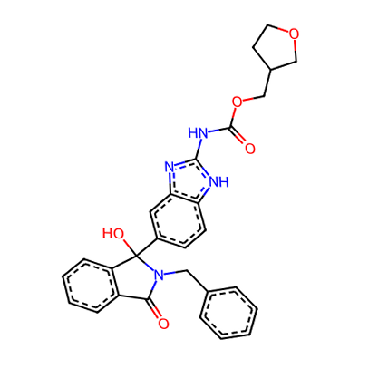 O=C(Nc1nc2cc(C3(O)c4ccccc4C(=O)N3Cc3ccccc3)ccc2[nH]1)OCC1CCOC1